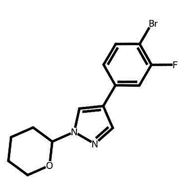 Fc1cc(-c2cnn(C3CCCCO3)c2)ccc1Br